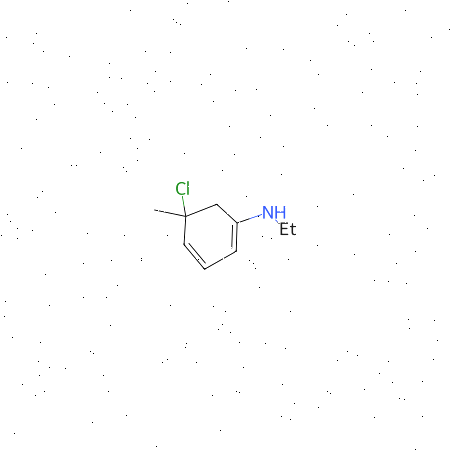 CCNC1=CC=CC(C)(Cl)C1